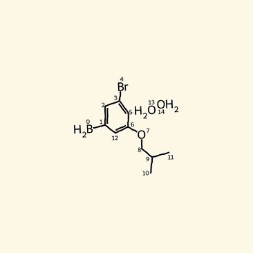 Bc1cc(Br)cc(OCC(C)C)c1.O.O